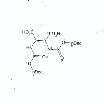 CCCCCCCCCCOC(=O)NC(C(=O)O)=C(NC(=O)OCCCCCCCCCC)C(=O)O